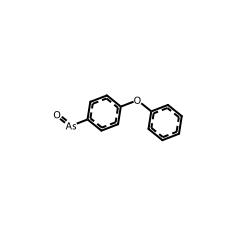 O=[As]c1ccc(Oc2ccccc2)cc1